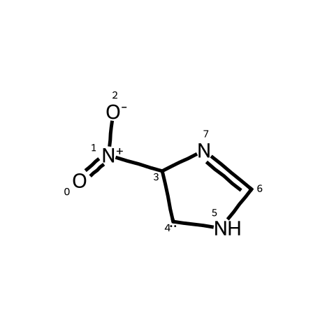 O=[N+]([O-])C1[C]NC=N1